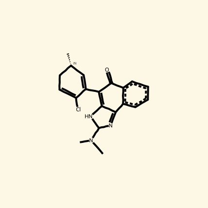 C[C@@H]1C=C(C2=C3NC(N(C)C)N=C3c3ccccc3C2=O)C(Cl)=CC1